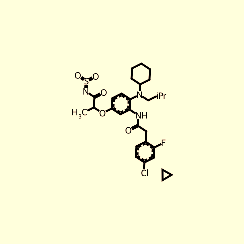 C1CC1.CC(C)CN(c1ccc(OC(C)C(=O)N=S(=O)=O)cc1NC(=O)Cc1ccc(Cl)cc1F)C1CCCCC1